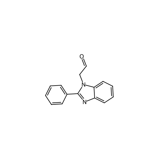 O=CCn1c(-c2ccccc2)nc2ccccc21